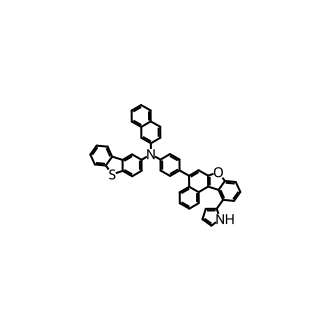 c1c[nH]c(-c2cccc3oc4cc(-c5ccc(N(c6ccc7ccccc7c6)c6ccc7sc8ccccc8c7c6)cc5)c5ccccc5c4c23)c1